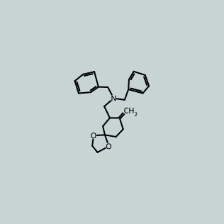 C=C1CCC2(CC1CN(Cc1ccccc1)Cc1ccccc1)OCCO2